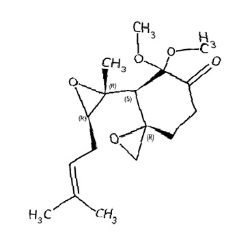 COC1(OC)C(=O)CC[C@]2(CO2)[C@H]1[C@@]1(C)O[C@@H]1CC=C(C)C